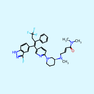 CN(C)C(=O)/C=C/CN(C)[C@H]1CCCN(c2ccc(/C(=C(/CC(F)(F)F)c3ccccc3)c3ccc4[nH]nc(F)c4c3)cn2)C1